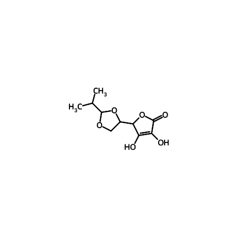 CC(C)C1OCC(C2OC(=O)C(O)=C2O)O1